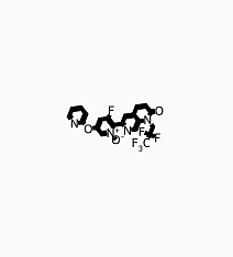 O=c1ccc2cc(-c3c(F)cc(Oc4ccccn4)c[n+]3[O-])ncc2n1CC(F)(F)C(F)(F)F